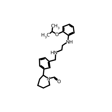 CC(C)Oc1ccccc1NCCNCc1cccc(C2CCCCN2C=O)c1